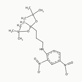 C[Si](C)(C)O[Si](C)(CCCNc1ccc([N+](=O)[O-])cc1[N+](=O)[O-])O[Si](C)(C)C